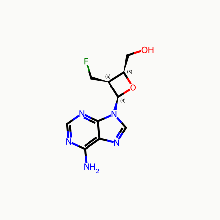 Nc1ncnc2c1ncn2[C@@H]1O[C@H](CO)[C@@H]1CF